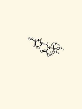 CC(C)(C)N(Cc1nc(Br)cs1)C(=O)O